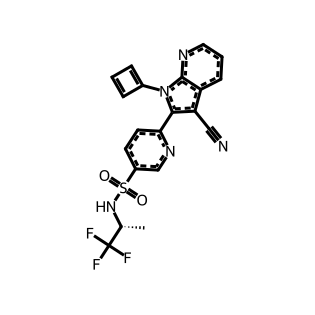 C[C@@H](NS(=O)(=O)c1ccc(-c2c(C#N)c3cccnc3n2C2=CC=C2)nc1)C(F)(F)F